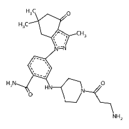 Cc1nn(-c2ccc(C(N)=O)c(NC3CCN(C(=O)CCN)CC3)c2)c2c1C(=O)CC(C)(C)C2